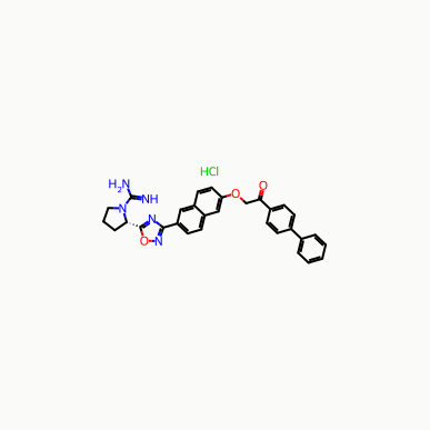 Cl.N=C(N)N1CCC[C@H]1c1nc(-c2ccc3cc(OCC(=O)c4ccc(-c5ccccc5)cc4)ccc3c2)no1